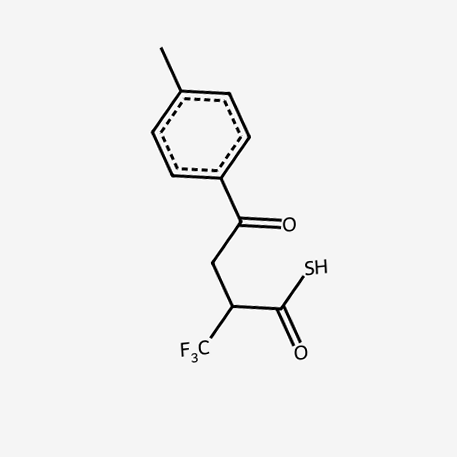 Cc1ccc(C(=O)CC(C(=O)S)C(F)(F)F)cc1